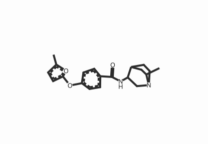 Cc1ccc(Oc2ccc(C(=O)NC3CN4CCC3CC4C)cc2)o1